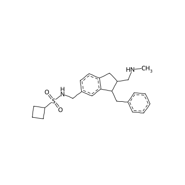 CNCC1Cc2ccc(CNS(=O)(=O)C3CCC3)cc2C1Cc1ccccc1